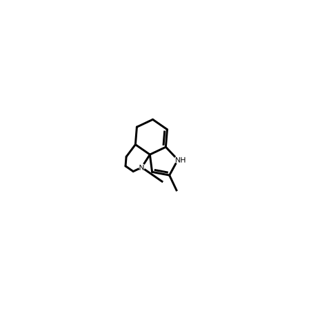 CC1=CC23C(=CCCC2CCCN3C)N1